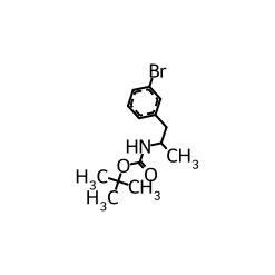 CC(Cc1cccc(Br)c1)NC(=O)OC(C)(C)C